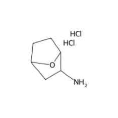 Cl.Cl.NC1CC2CCC1O2